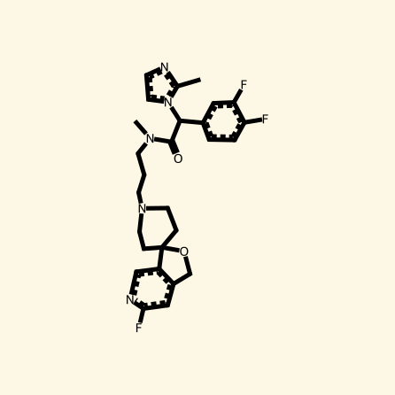 Cc1nccn1C(C(=O)N(C)CCCN1CCC2(CC1)OCc1cc(F)ncc12)c1ccc(F)c(F)c1